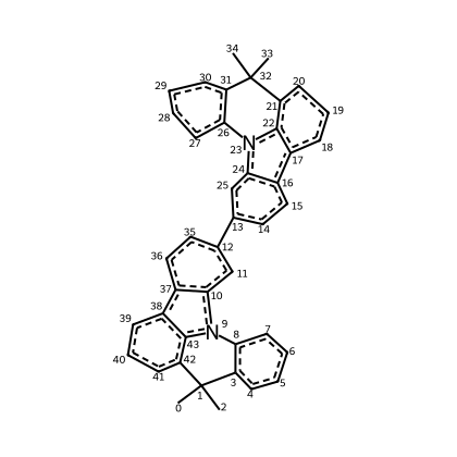 CC1(C)c2ccccc2-n2c3cc(-c4ccc5c6cccc7c6n(c5c4)-c4ccccc4C7(C)C)ccc3c3cccc1c32